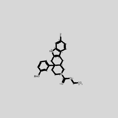 COc1cccc(C23CCN(C(=O)OCC(Cl)(Cl)Cl)CC2Cc2c([nH]c4cc(F)ccc24)C3)c1